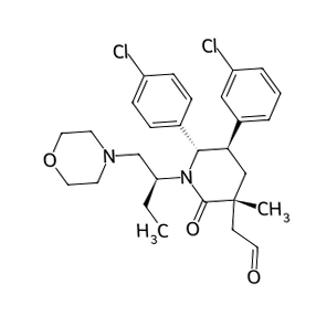 CC[C@@H](CN1CCOCC1)N1C(=O)[C@@](C)(CC=O)C[C@H](c2cccc(Cl)c2)[C@H]1c1ccc(Cl)cc1